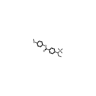 CCC(c1ccc(C(=O)Oc2ccc(OC)cc2)cc1)[Si](C)(C)C